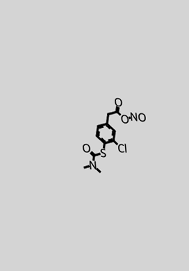 CN(C)C(=O)Sc1ccc(CC(=O)ON=O)cc1Cl